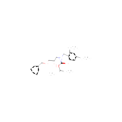 COc1ccc(CN(C[C@H](O)COCc2ccccc2)C(=O)CC(OC)OC)c(OC)c1